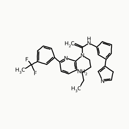 C=C(Nc1cccc(C2=CN=CC2)c1)N(CCCCC)c1nc(-c2cccc(C(C)(F)F)c2)ccc1N